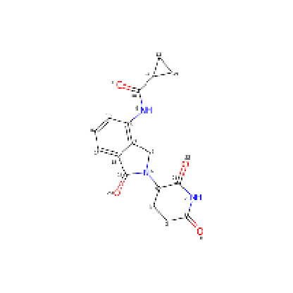 O=C1CCC(N2Cc3c(NC(=O)C4CC4)cccc3C2=O)C(=O)N1